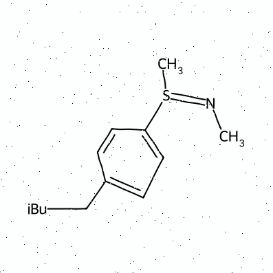 CCC(C)Cc1ccc(/S(C)=N\C)cc1